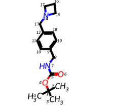 CC(C)(C)OC(=O)NCc1ccc(CN2CCC2)cc1